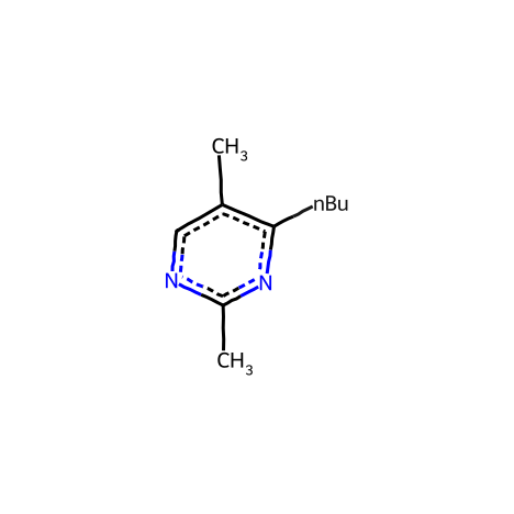 CCCCc1nc(C)ncc1C